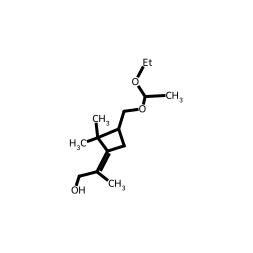 CCOC(C)OCC1C/C(=C(\C)CO)C1(C)C